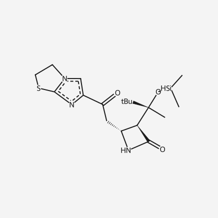 C[SiH](C)O[C@](C)([C@H]1C(=O)N[C@@H]1CC(=O)c1cn2c(n1)SCC2)C(C)(C)C